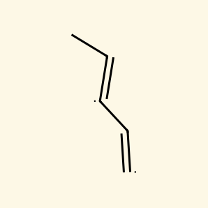 [CH]=C/[C]=C/C